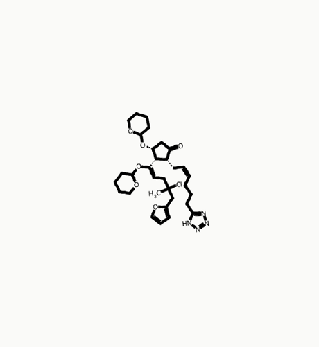 CC(C)(CC=C(OC1CCCCO1)[C@@H]1[C@H](OC2CCCCO2)CC(=O)[C@@H]1C/C=C\CCCc1nnn[nH]1)Cc1ccco1